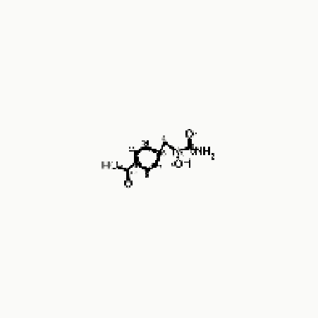 NC(=O)N(O)Cc1ccc(C(=O)O)cc1